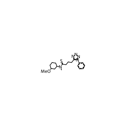 COC1CCCC(N(C)C(=S)CCCc2nnnn2-c2ccccc2)C1